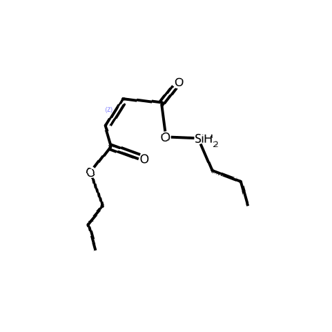 CCCOC(=O)/C=C\C(=O)O[SiH2]CCC